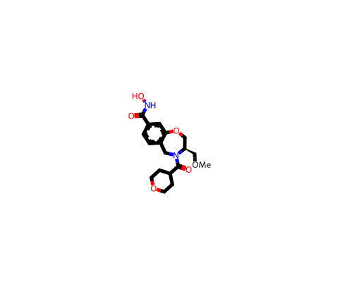 COC[C@@H]1COc2cc(C(=O)NO)ccc2CN1C(=O)C1CCOCC1